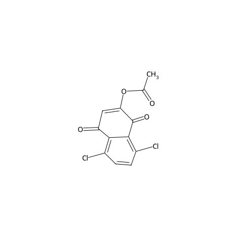 CC(=O)OC1=CC(=O)c2c(Cl)ccc(Cl)c2C1=O